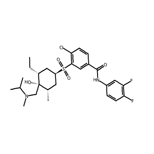 CC[C@@H]1C[C@@H](S(=O)(=O)c2cc(C(=O)Nc3ccc(F)c(F)c3)ccc2Cl)C[C@H](C)[C@@]1(O)CN(C)C(C)C